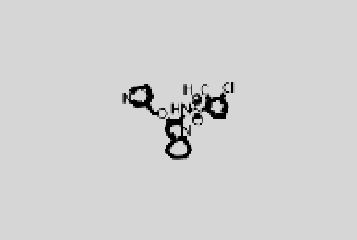 Cc1c(Cl)cccc1S(=O)(=O)Nc1nc2c(cc1OCc1cccnc1)CCCC2